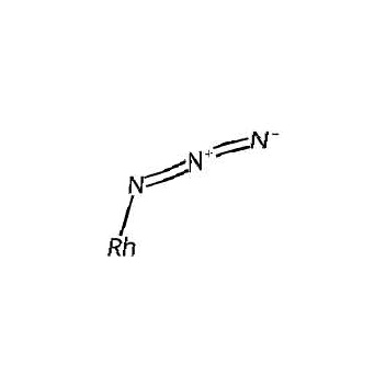 [N-]=[N+]=[N][Rh]